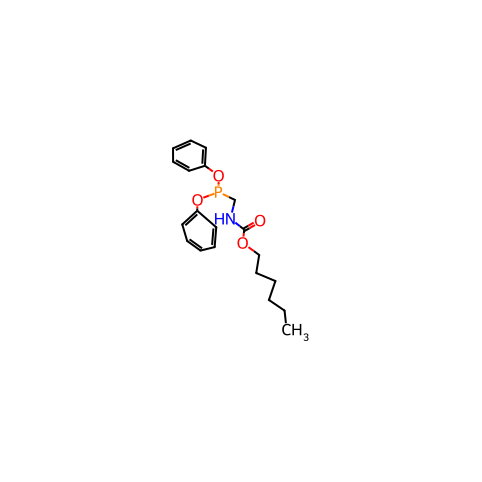 CCCCCCOC(=O)NCP(Oc1ccccc1)Oc1ccccc1